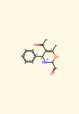 CC(=O)C1=C(C)OC(C=O)NC1c1ccccc1